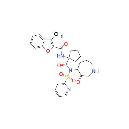 Cc1c(C(=O)NC2(C(=O)N(C3CCCNCC3=O)S(=O)(=O)c3ccccn3)CCCC2)oc2ccccc12